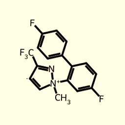 C[N+]1(c2cc(F)ccc2-c2ccc(F)cc2)C=[C]C(C(F)(F)F)=N1